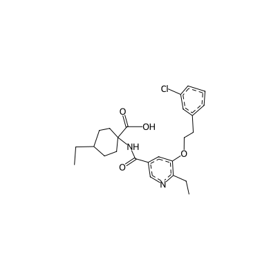 CCc1ncc(C(=O)NC2(C(=O)O)CCC(CC)CC2)cc1OCCc1cccc(Cl)c1